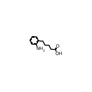 Nc1ccccc1CCCCC(=O)O